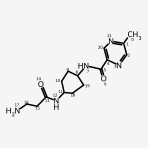 Cc1cnc(C(=O)NC2CCC(NC(=O)CCN)CC2)cn1